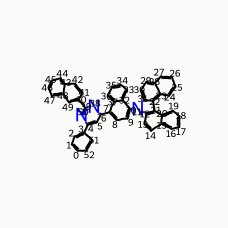 c1ccc(-c2cc(-c3ccc(-n4c5ccc6ccccc6c5c5c6ccccc6ccc54)c4ccccc34)nc(-c3ccc4ccccc4c3)n2)cc1